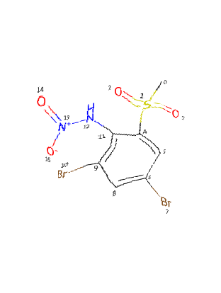 CS(=O)(=O)c1cc(Br)cc(Br)c1N[N+](=O)[O-]